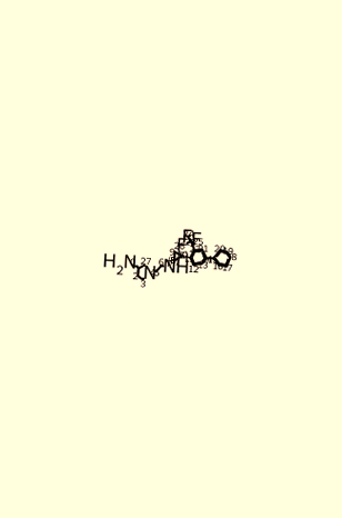 NC1CCN(CCN[C@@H]2C[C@H]2c2ccc(-c3ccccc3)cc2C(F)(F)F)C1